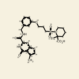 CCC1(C(=O)O)CCCCN1S(=O)(=O)CCCOc1cccc(CNC(=O)c2nc3scc(C)c3c(=O)[nH]2)c1